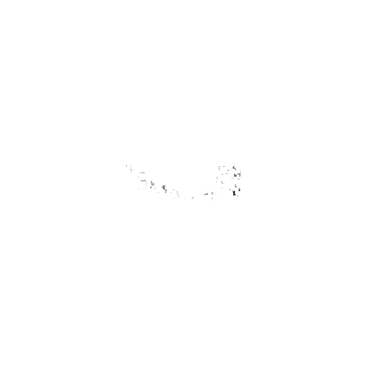 Cn1ncnc1[C@H]1c2n[nH]c(=O)c3cc(F)cc(c23)N[C@@H]1C1(C)C=CC(NC(=O)COCCOc2ccc(S(=O)(=O)CC(C)(O)C(=O)Nc3ccc(C#N)c(C(F)(F)F)c3)cc2)=CC1